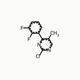 Cc1cnc(Cl)nc1-c1cccc(F)c1F